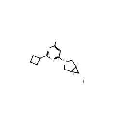 O=C(O)C[C@@H]1[C@H]2CN(c3cc(C(F)(F)F)nc(C4CCC4)n3)C[C@@H]12